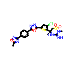 Cc1nc(-c2ccc(-c3nnc(-c4cc(Cl)c([C@]5(C)CS(=O)(=O)N(C)C(=N)N5)s4)o3)cc2)no1